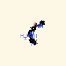 Nc1ccc(-c2ccc(C(=O)NCCN3CCCC3)cc2)nc1NCc1ccc2ncccc2c1